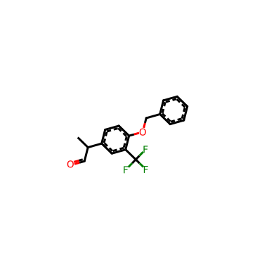 CC(C=O)c1ccc(OCc2ccccc2)c(C(F)(F)F)c1